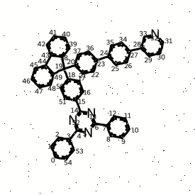 c1ccc(-c2nc(-c3ccccc3)nc(-c3ccc(C4(c5ccc(-c6ccc(-c7cccnc7)cc6)cc5)c5ccccc5-c5ccccc54)cc3)n2)cc1